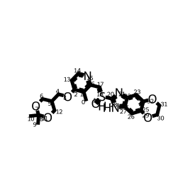 Cc1c(OCC2COC(C)(C)OC2)ccnc1/C=[SH](=O)/c1nc2cc3c(cc2[nH]1)OCCO3